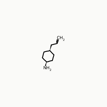 C=CC[C@H]1CC[C@@H](N)CC1